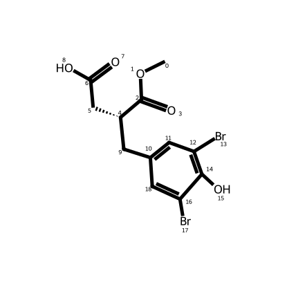 COC(=O)[C@@H](CC(=O)O)Cc1cc(Br)c(O)c(Br)c1